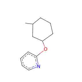 CC1CCCC(Oc2ccccn2)C1